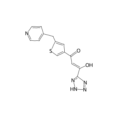 O=C(C=C(O)c1nn[nH]n1)c1csc(Cc2ccncc2)c1